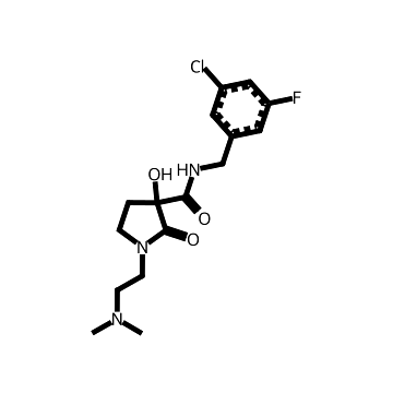 CN(C)CCN1CCC(O)(C(=O)NCc2cc(F)cc(Cl)c2)C1=O